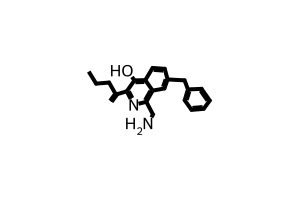 C=C(CCC)c1nc(CN)c2cc(Cc3ccccc3)ccc2c1O